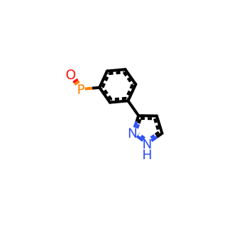 O=Pc1cccc(-c2cc[nH]n2)c1